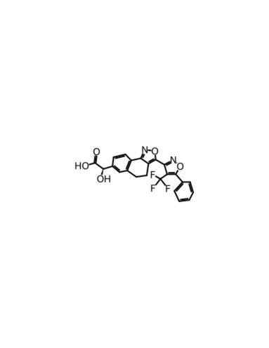 O=C(O)[C@H](O)c1ccc2c(c1)CCc1c-2noc1-c1noc(-c2ccccc2)c1C(F)(F)F